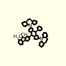 CC1(C)c2ccccc2-c2ccc(-c3c4ccc(N5c6ccccc6C=Cc6ccccc65)cc4c(-c4ccccc4)c4cc(N5c6ccccc6C=Cc6ccccc65)ccc34)cc21